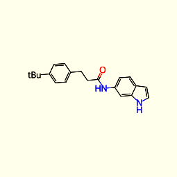 CC(C)(C)c1ccc(CCC(=O)Nc2ccc3cc[nH]c3c2)cc1